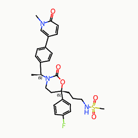 C[C@@H](c1ccc(-c2ccc(=O)n(C)c2)cc1)N1CC[C@@](CCCNS(C)(=O)=O)(c2ccc(F)cc2)OC1=O